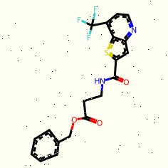 O=C(CCNC(=O)c1cc2nccc(C(F)(F)F)c2s1)OCc1ccccc1